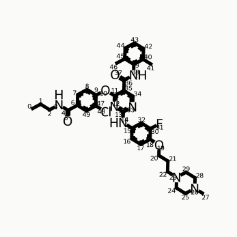 CCCNC(=O)c1ccc(Oc2nc(Nc3ccc(OCCCN4CCN(C)CC4)c(F)c3)ncc2C(=O)Nc2c(C)cccc2C)c(Cl)c1